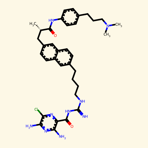 C[C@@H](Cc1ccc2cc(CCCCNC(=N)NC(=O)c3nc(Cl)c(N)nc3N)ccc2c1)C(=O)Nc1ccc(CCCN(C)C)cc1